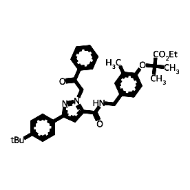 CCOC(=O)C(C)(C)Oc1ccc(CNC(=O)c2cc(-c3ccc(C(C)(C)C)cc3)nn2CC(=O)c2ccccc2)cc1C